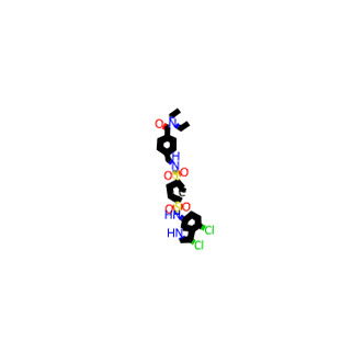 CCN(CC)C(=O)c1ccc(CNS(=O)(=O)c2ccc(S(=O)(=O)Nc3ccc(Cl)c4c(Cl)c[nH]c34)cc2)cc1